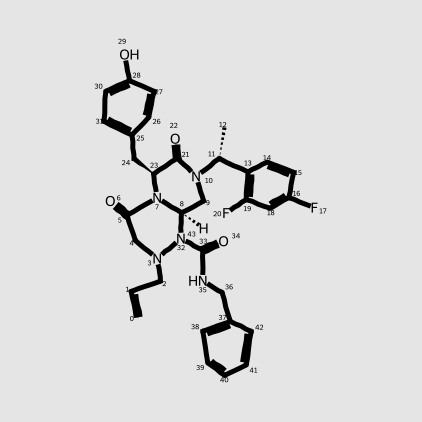 C=CCN1CC(=O)N2[C@@H](CN([C@H](C)c3ccc(F)cc3F)C(=O)[C@@H]2Cc2ccc(O)cc2)N1C(=O)NCc1ccccc1